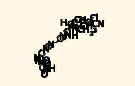 CC1(C)C(NC(=O)c2ccc(N3CCC(CCN4CCN(c5ccc6nnn(C7CCC(=O)NC7=O)c(=O)c6c5)CC4)CC3)nc2)C(C)(C)C1Oc1ccc(C#N)c(Cl)c1